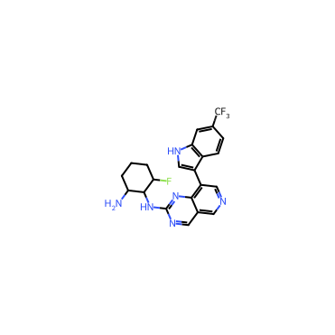 NC1CCCC(F)C1Nc1ncc2cncc(-c3c[nH]c4cc(C(F)(F)F)ccc34)c2n1